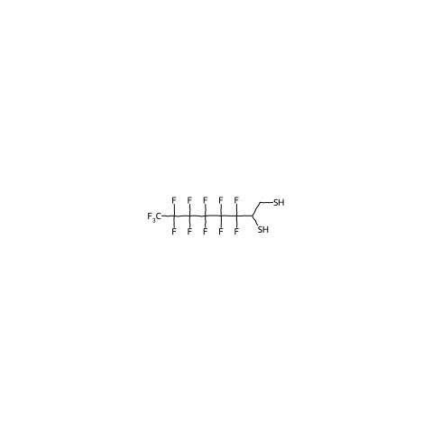 FC(F)(F)C(F)(F)C(F)(F)C(F)(F)C(F)(F)C(F)(F)C(S)CS